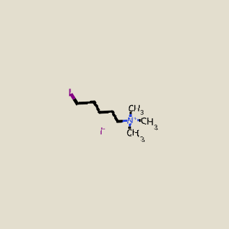 C[N+](C)(C)CCCCCI.[I-]